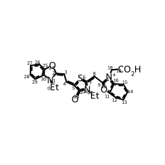 CCN1C(=CC=c2sc(=Cc3oc4ccccc4[n+]3CC(=O)O)n(CC)c2=O)Oc2ccccc21